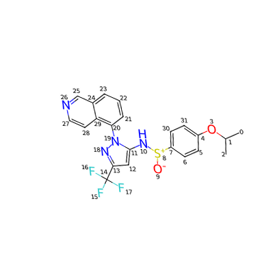 CC(C)Oc1ccc([S+]([O-])Nc2cc(C(F)(F)F)nn2-c2cccc3cnccc23)cc1